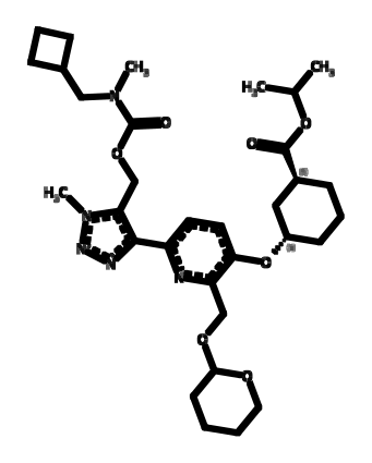 CC(C)OC(=O)[C@H]1CCC[C@H](Oc2ccc(-c3nnn(C)c3COC(=O)N(C)CC3CCC3)nc2COC2CCCCO2)C1